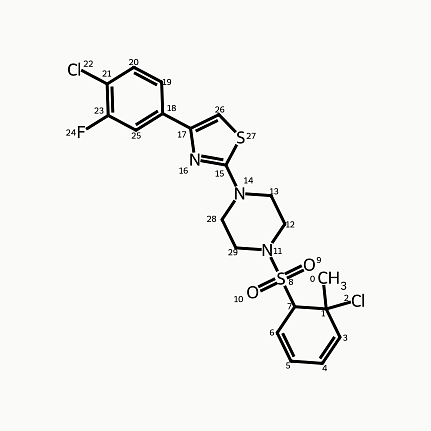 CC1(Cl)C=CC=CC1S(=O)(=O)N1CCN(c2nc(-c3ccc(Cl)c(F)c3)cs2)CC1